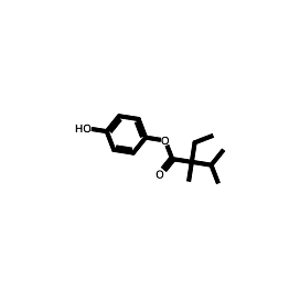 CCC(C)(C(=O)Oc1ccc(O)cc1)C(C)C